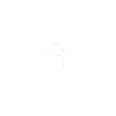 CCCCC(=O)C1C(=O)Oc2ccc([N+](=O)[O-])cc21